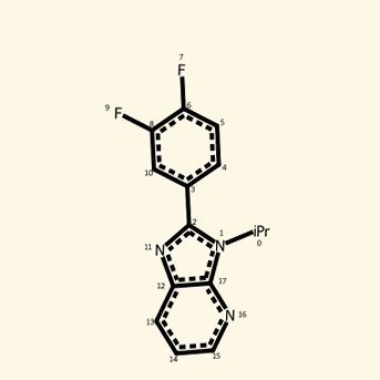 CC(C)n1c(-c2ccc(F)c(F)c2)nc2cccnc21